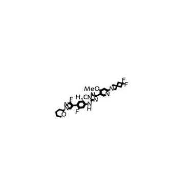 COc1cc(N2CC3(C2)CC(F)(F)C3)ncc1-c1nc(Nc2ccc(-c3cn(C4CCCCO4)nc3F)c(F)c2)n(C)n1